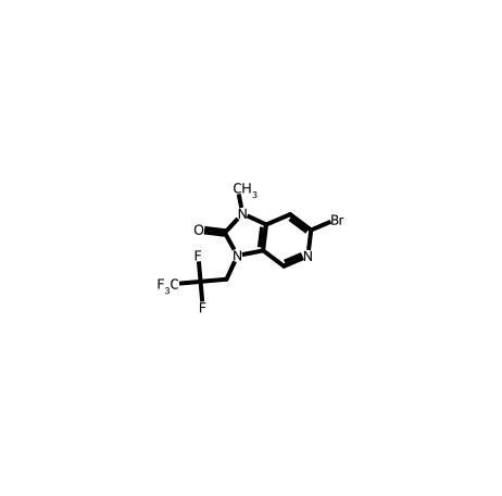 Cn1c(=O)n(CC(F)(F)C(F)(F)F)c2cnc(Br)cc21